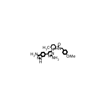 COc1ccc(CNC(=O)[C@H]2CC[C@@H](C)N(c3cc(-c4ccc5c(N)n[nH]c5c4)nc(N)n3)C2)cc1